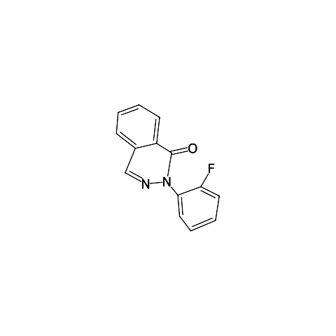 O=c1c2ccccc2cnn1-c1ccccc1F